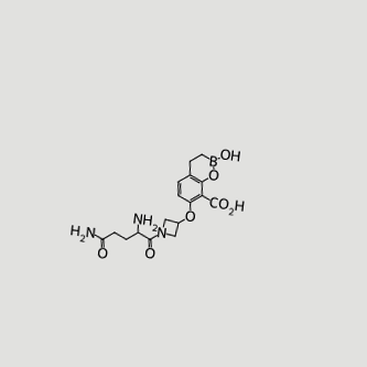 NC(=O)CCC(N)C(=O)N1CC(Oc2ccc3c(c2C(=O)O)OB(O)CC3)C1